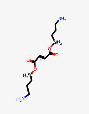 NCCC[SiH2]OC(=O)/C=C/C(=O)O[SiH2]CCCN